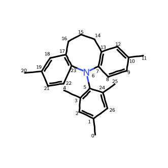 Cc1cc(C)c(N2c3ccc(C)cc3CCCc3cc(C)ccc32)c(C)c1